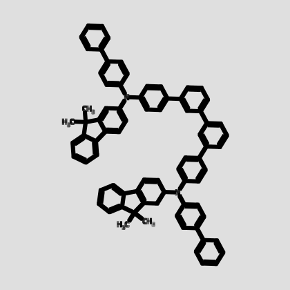 CC1(C)C2=C(C=CC(N(c3ccc(-c4ccccc4)cc3)c3ccc(-c4cccc(-c5cccc(-c6ccc(N(c7ccc(-c8ccccc8)cc7)c7ccc8c(c7)C(C)(C)c7ccccc7-8)cc6)c5)c4)cc3)C2)c2ccccc21